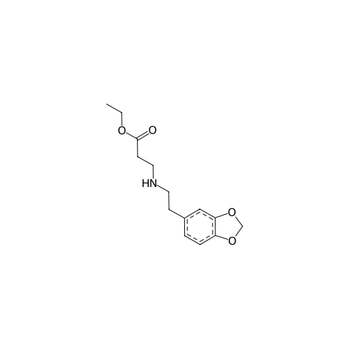 CCOC(=O)CCNCCc1ccc2c(c1)OCO2